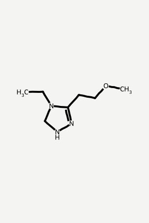 CCN1CNN=C1CCOC